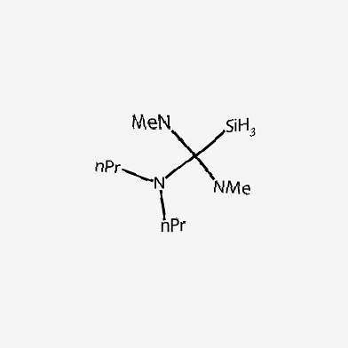 CCCN(CCC)C([SiH3])(NC)NC